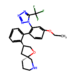 CCOc1ccc(-c2ccccc2[C@H]2CO[C@]3(CCCNC3)C2)c(-n2nnnc2C(F)(F)F)c1